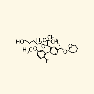 COc1ccc(F)c(-c2ccc(COC3CCCCO3)cc2C(OCCCCCO)C(C)(C)C)c1